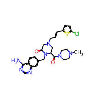 CN1CCN(C(=O)C2CN(CC=Cc3ccc(Cl)s3)CC(=O)N2Cc2ccc3c(N)ncnc3c2)CC1